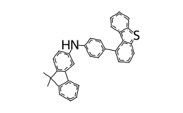 CC1(C)c2ccccc2-c2cc(Nc3ccc(-c4cccc5sc6ccccc6c45)cc3)ccc21